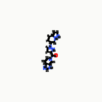 O=C(c1ccn(-c2ccc3ccnn3c2)n1)n1ccc2ncnc-2c1